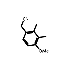 COc1ccc(CC#N)c(C)c1C